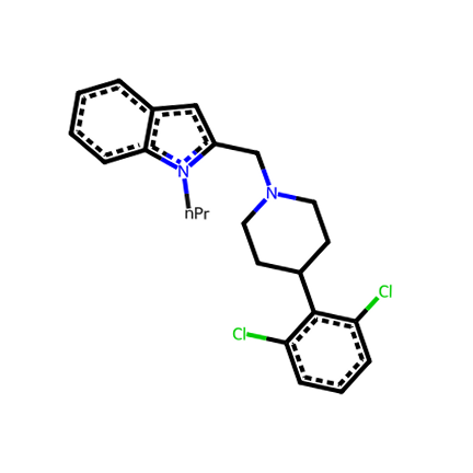 CCCn1c(CN2CCC(c3c(Cl)cccc3Cl)CC2)cc2ccccc21